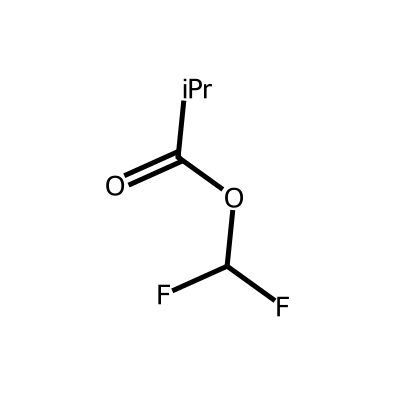 CC(C)C(=O)OC(F)F